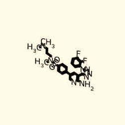 CN(C)CCCN(C)S(=O)(=O)c1ccc(-c2cnc(N)c(-c3nnnn3-c3cccc(F)c3F)c2)cc1